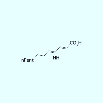 CCCCCCCC=CC=CC(=O)O.N